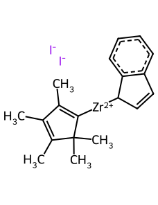 CC1=C(C)C(C)(C)[C]([Zr+2][CH]2C=Cc3ccccc32)=C1C.[I-].[I-]